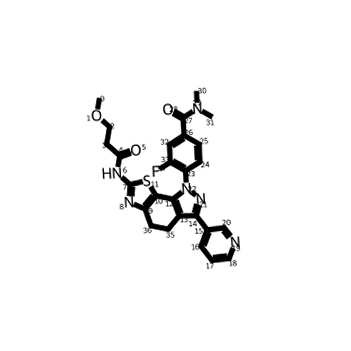 COCCC(=O)Nc1nc2c(s1)-c1c(c(-c3cccnc3)nn1-c1ccc(C(=O)N(C)C)cc1F)CC2